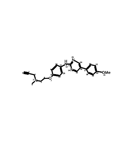 C#CCN(C)CCOc1ccc(Nc2ncc(-c3ccc(OC)cc3)cn2)cc1